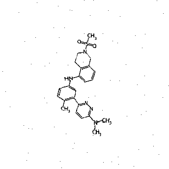 Cc1ccc(Nc2cccc3c2CCN(S(C)(=O)=O)C3)cc1-c1ccc(N(C)C)nn1